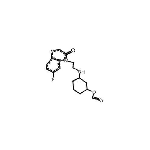 O=COC1CCCC(NCCn2c(=O)cnc3ccc(F)cc32)C1